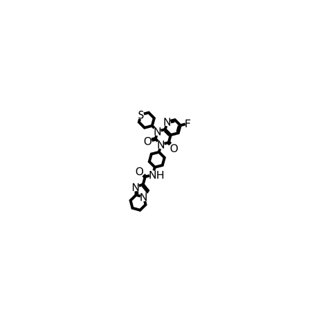 O=C(NC1CCC(n2c(=O)c3cc(F)cnc3n(C3CCSCC3)c2=O)CC1)c1cn2c(n1)CCCC2